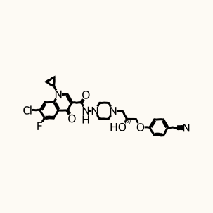 N#Cc1ccc(OC[C@@H](O)CN2CCN(NC(=O)c3cn(C4CC4)c4cc(Cl)c(F)cc4c3=O)CC2)cc1